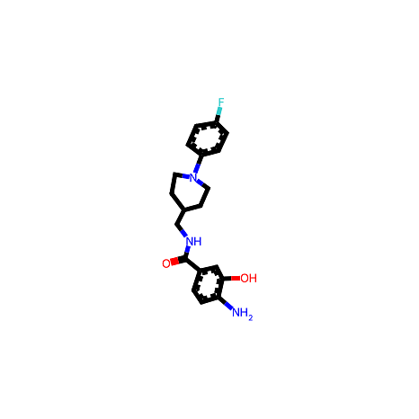 Nc1ccc(C(=O)NCC2CCN(c3ccc(F)cc3)CC2)cc1O